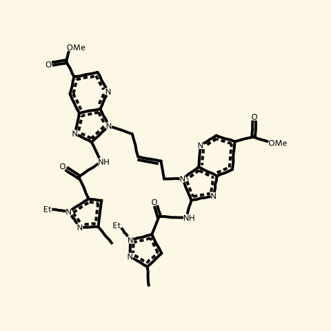 CCn1nc(C)cc1C(=O)Nc1nc2cc(C(=O)OC)cnc2n1C/C=C/Cn1c(NC(=O)c2cc(C)nn2CC)nc2cc(C(=O)OC)cnc21